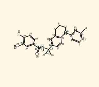 Cc1nccc(N2CCCc3nc(C4(NC(=O)c5ccc(F)c(Br)c5)CC4)ccc32)n1